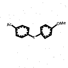 COc1ccc([I+]c2ccc(C(C)=O)cc2)cc1